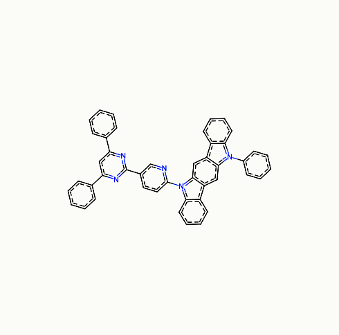 c1ccc(-c2cc(-c3ccccc3)nc(-c3ccc(-n4c5ccccc5c5cc6c(cc54)c4ccccc4n6-c4ccccc4)nc3)n2)cc1